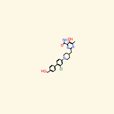 Cc1nc(CC2CCN(c3ccc(-c4ccc(CO)cc4)c(Cl)c3)CC2)nc(C(N)=O)c1O